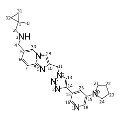 CC1(CNCc2ccc3nc(Cn4cc(-c5cncc(N6CCCC6)c5)nn4)cn3c2)CC1